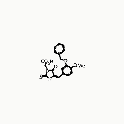 COc1ccc(C=C2SC(=S)N(CC(=O)O)C2=O)cc1OCc1ccccc1